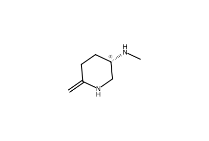 C=C1CC[C@H](NC)CN1